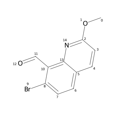 COc1ccc2ccc(Br)c(C=O)c2n1